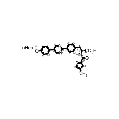 CCCCCCCOc1ccc(-c2cnc(-c3ccc(C[C@H](NC(=O)c4cc(C)cs4)C(=O)O)cc3)nc2)cc1